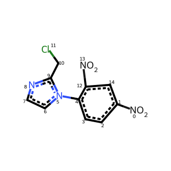 O=[N+]([O-])c1ccc(-n2ccnc2CCl)c([N+](=O)[O-])c1